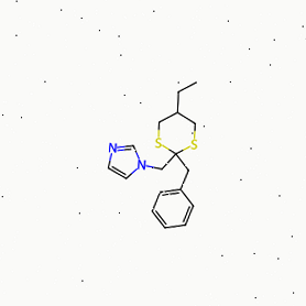 CCC1CSC(Cc2ccccc2)(Cn2ccnc2)SC1